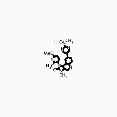 COc1ccc(-n2c(=O)n(C)c3cnc4ccc(-c5cnc(N(C)C)nc5)cc4c32)c(C)n1